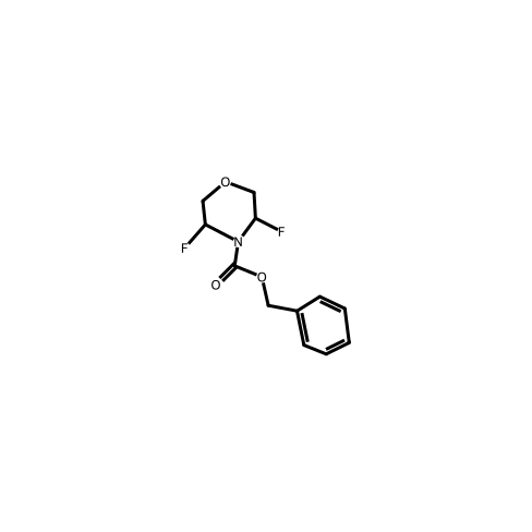 O=C(OCc1ccccc1)N1C(F)COCC1F